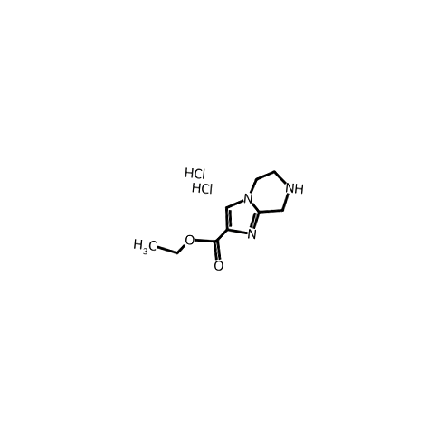 CCOC(=O)c1cn2c(n1)CNCC2.Cl.Cl